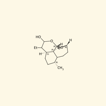 CCC1C(O)O[C@@H]2O[C@H]3CCC4[C@H](C)CC[C@@H]1[C@]42OO3